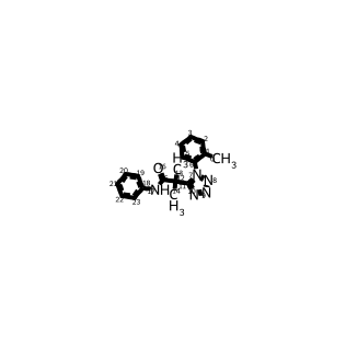 Cc1ccccc1-n1nnnc1C(C)(C)C(=O)Nc1ccccc1